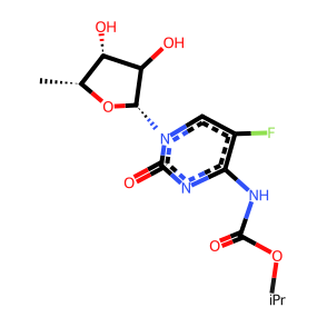 CC(C)OC(=O)Nc1nc(=O)n([C@@H]2O[C@H](C)[C@H](O)C2O)cc1F